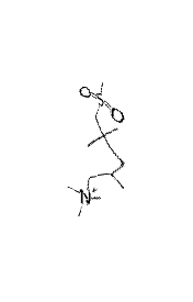 CC(CC(C)(C)CS(C)(=O)=O)C[N+](C)(C)C